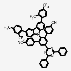 Cc1ccc(-c2ccc3c(c2)c2cc(-c4ccc(C(F)(F)F)cc4C(F)(F)F)ccc2n3-c2c(-c3ccc(C#N)cc3)cc(-c3nc(-c4ccccc4)nc(-c4ccccc4)n3)cc2-c2ccc(C#N)cc2)c(C(F)(F)F)c1